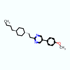 CCCC[C@H]1CC[C@H](CCc2ncc(-c3ccc(OC)cc3)cn2)CC1